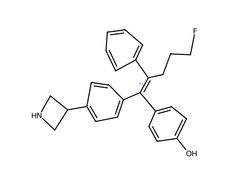 Oc1ccc(/C(=C(\CCCF)c2ccccc2)c2ccc(C3CNC3)cc2)cc1